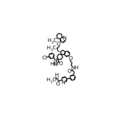 CNC(=O)c1ccc(-c2cccc(CC(=O)NCCCOc3ccc4c(c3)C3(CCC(Nc5cccc(Cl)c5)(C(=O)O)CC3)[C@@H](C[C@@H](C)COc3ccnc5c3[C@H](C)CCC5)C4)c2)cn1